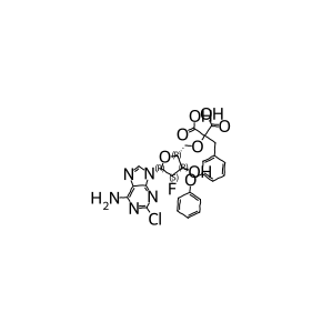 Nc1nc(Cl)nc2c1ncn2[C@@H]1O[C@H](COC(Cc2cccc(Oc3ccccc3)c2)(C(=O)O)C(=O)O)[C@@H](O)[C@@H]1F